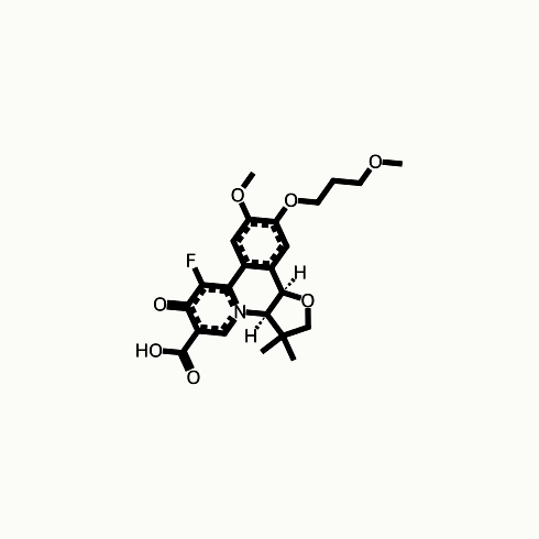 COCCCOc1cc2c(cc1OC)-c1c(F)c(=O)c(C(=O)O)cn1[C@H]1[C@@H]2OCC1(C)C